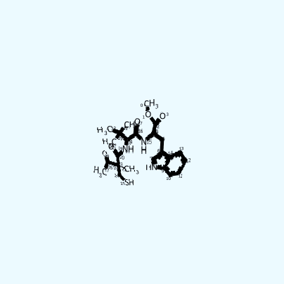 COC(=O)C(Cc1c[nH]c2ccccc12)NC(=O)C(NC(=O)[C@@](C)(CS)C(C)=O)C(C)(C)C